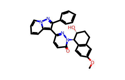 COc1ccc2c(c1)CC[C@@H](O)[C@@H]2n1nc(-c2c(-c3ccccc3)nn3ccccc23)ccc1=O